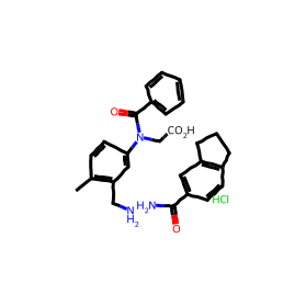 Cc1ccc(N(CC(=O)O)C(=O)c2ccccc2)cc1CN.Cl.NC(=O)c1ccc2c(c1)CCC2